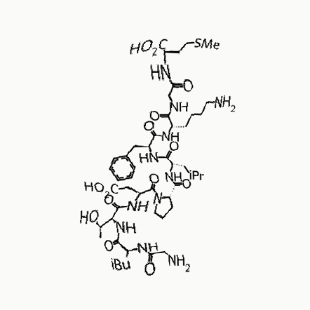 CC[C@H](C)[C@H](NC(=O)CN)C(=O)N[C@H](C(=O)N[C@@H](CC(=O)O)C(=O)N1CCC[C@H]1C(=O)N[C@@H](CC(C)C)C(=O)N[C@@H](Cc1ccccc1)C(=O)N[C@@H](CCCCN)C(=O)NCC(=O)N[C@@H](CCSC)C(=O)O)[C@@H](C)O